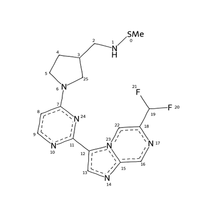 CSNCC1CCN(c2ccnc(-c3cnc4cnc(C(F)F)cn34)n2)C1